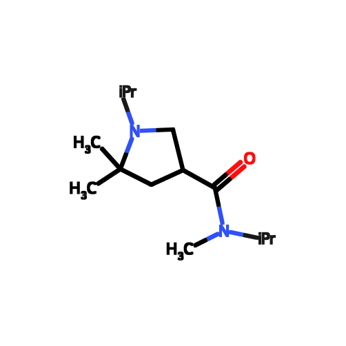 CC(C)N(C)C(=O)C1CN(C(C)C)C(C)(C)C1